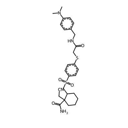 CN(C)c1ccc(CNC(=O)CSc2ccc(S(=O)(=O)CC3CCCCC3(CC#N)C(N)=O)cc2)cc1